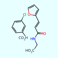 O=C(O)CNC(=O)C=Cc1ccco1.O=C(O)c1cccc(Cl)c1